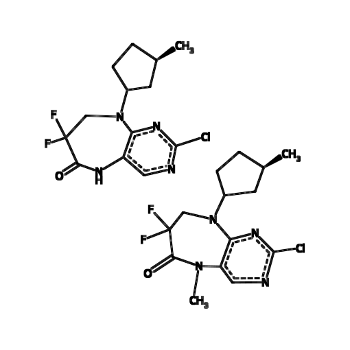 C[C@@H]1CCC(N2CC(F)(F)C(=O)N(C)c3cnc(Cl)nc32)C1.C[C@@H]1CCC(N2CC(F)(F)C(=O)Nc3cnc(Cl)nc32)C1